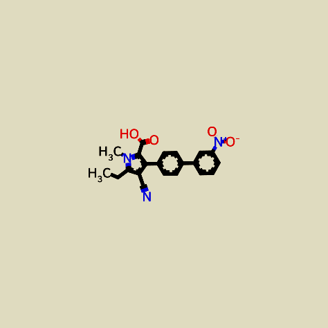 CCc1c(C#N)c(-c2ccc(-c3cccc([N+](=O)[O-])c3)cc2)c(C(=O)O)n1C